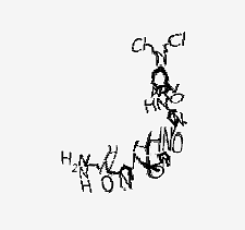 Cn1cc(NC(=O)c2cc(NC(=O)c3cc(NC(=O)c4nc5cc(N(CCCl)CCCl)ccc5n4C)cn3C)cn2C)cc1C(=O)NCCC(=N)N